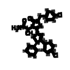 C[C@H](C(N)=O)n1c(N2C[C@H](c3ccccc3)C(c3ccc(Cl)cc3)=N2)nn(Cc2ccc(Cl)cc2)c1=O